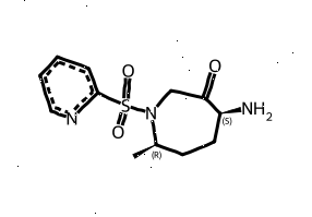 C[C@@H]1CC[C@H](N)C(=O)CN1S(=O)(=O)c1ccccn1